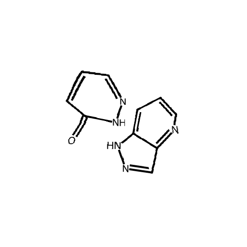 O=c1cccn[nH]1.c1cnc2cn[nH]c2c1